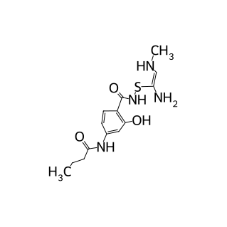 CCCC(=O)Nc1ccc(C(=O)NS/C(N)=C\NC)c(O)c1